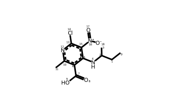 CCC(C)Nc1c(C(=O)O)c(C)nc(Cl)c1[N+](=O)[O-]